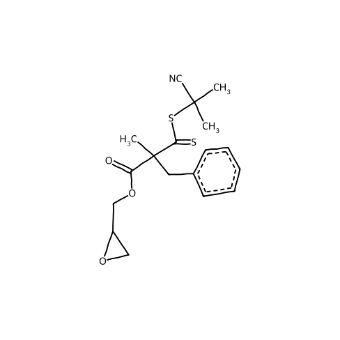 CC(C)(C#N)SC(=S)C(C)(Cc1ccccc1)C(=O)OCC1CO1